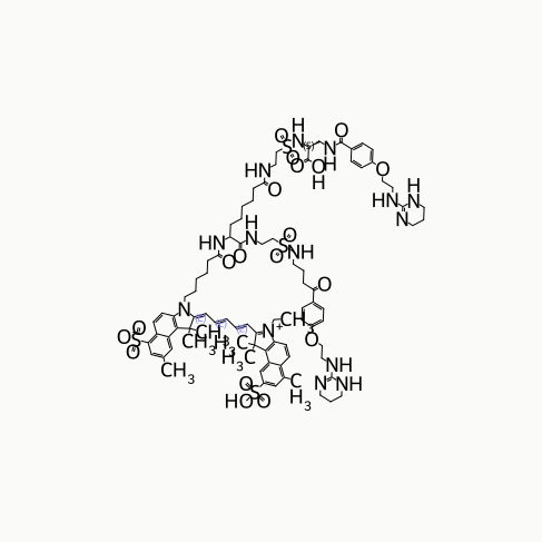 CC[N+]1=C(/C=C/C=C/C=C2/N(CCCCCC(=O)NC(CCCCCC(=O)NCCS(=O)(=O)N[C@@H](CNC(=O)c3ccc(OCCNC4=NCCCN4)cc3)C(=O)O)C(=O)NCCS(=O)(=O)NCCCC(=O)c3ccc(OCCNC4=NCCCN4)cc3)c3ccc4c(S(=O)(=O)[O-])cc(C)cc4c3C2(C)C)C(C)(C)c2c1ccc1c(C)cc(S(=O)(=O)O)cc21